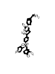 NCc1ccc(-n2cc3cc(-c4ccc(S(=O)(=O)N(Cc5ccc(Cl)c(Cl)c5)C5CCNCC5)cc4)[nH]c3nc2=O)cc1